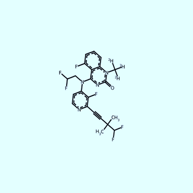 [2H]C([2H])([2H])n1c(=O)nc(N(CC(F)F)c2ccnc(C#CC(C)(C)C(F)F)c2F)c2c(F)cccc21